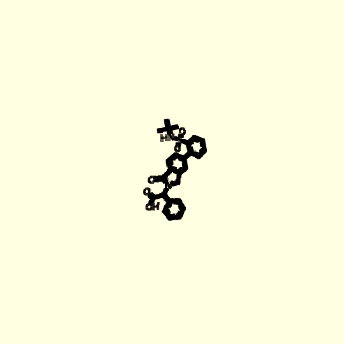 CC(C)(C)NS(=O)(=O)c1ccccc1-c1ccc2c(c1)CN(C(C(=O)O)c1ccccc1)C2=O